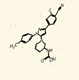 Cc1ccc(-n2nc(-c3ccc(C#N)c(F)c3)cc2N2CCCC(NC(=O)O)C2)cc1